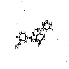 Cc1cc(Nc2ncc(F)c3nc(N4CCCC(C#N)C4)sc23)ncn1